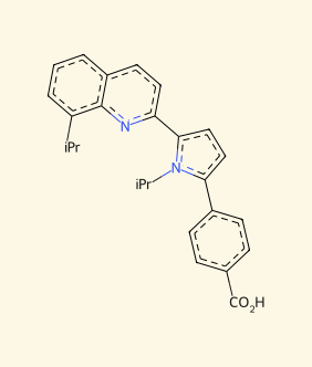 CC(C)c1cccc2ccc(-c3ccc(-c4ccc(C(=O)O)cc4)n3C(C)C)nc12